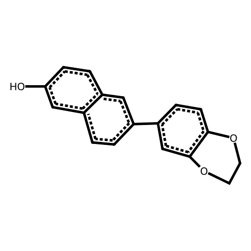 Oc1ccc2cc(-c3ccc4c(c3)OCCO4)ccc2c1